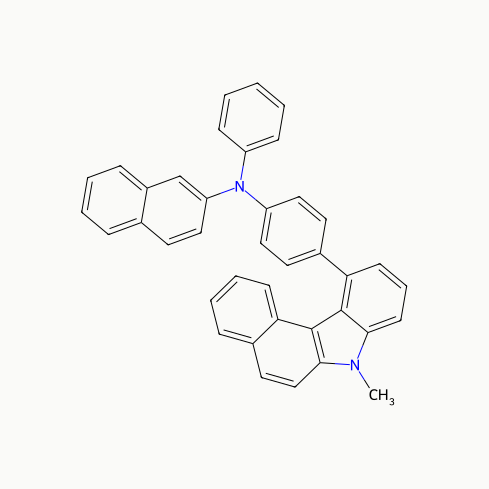 Cn1c2cccc(-c3ccc(N(c4ccccc4)c4ccc5ccccc5c4)cc3)c2c2c3ccccc3ccc21